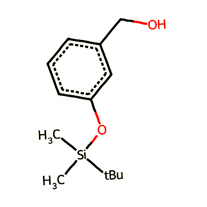 CC(C)(C)[Si](C)(C)Oc1cccc(CO)c1